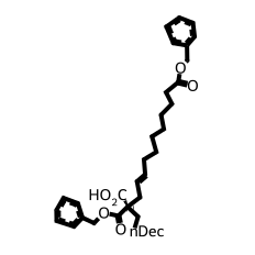 CCCCCCCCCCC[C@](CC=CCCCCCCCC(=O)OCc1ccccc1)(C(=O)O)C(=O)OCc1ccccc1